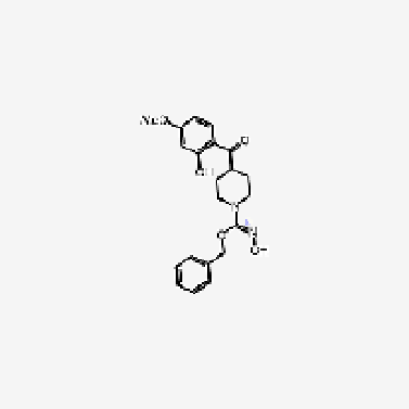 COc1ccc(C(=O)C2CCN(/C(=N/O)OCc3ccccc3)CC2)c(O)c1